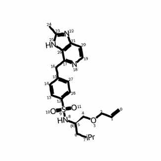 C=CCOC[C@@H](CC(C)C)NS(=O)(=O)c1ccc(Cc2nccc3nc(C)[nH]c23)cc1